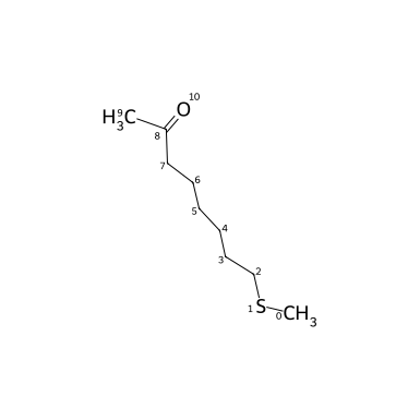 CSCCCCCCC(C)=O